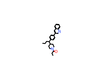 CCCC(c1ccc(-c2cnc3ccccc3c2)cc1)C1CCN(C(=O)CC)CC1